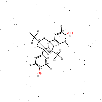 Cc1cc(C23CC4(c5cc(C)c(O)c(C)c5)CC(C(C)(C)C)(C2)CC(C(C)(C)C)(C3)C4)cc(C)c1O